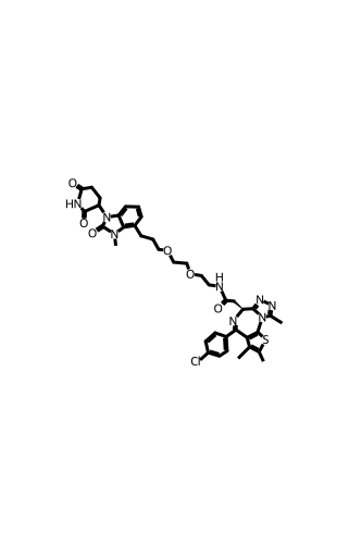 Cc1sc2c(c1C)C(c1ccc(Cl)cc1)=N[C@@H](CC(=O)NCCOCCOCCCc1cccc3c1n(C)c(=O)n3C1CCC(=O)NC1=O)c1nnc(C)n1-2